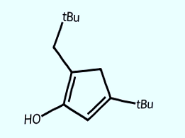 CC(C)(C)CC1=C(O)C=C(C(C)(C)C)C1